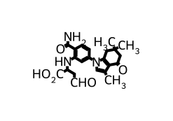 Cc1cn(-c2ccc(C(N)=O)c(NC(CC=O)C(=O)O)c2)c2c1C(=O)CC(C)(C)C2